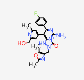 Cc1cc(-c2c(-c3ccc(F)cc3)nc(N)[n+]3c(=O)n(Cc4nc(C)oc4C)[nH]c23)cc(CO)n1